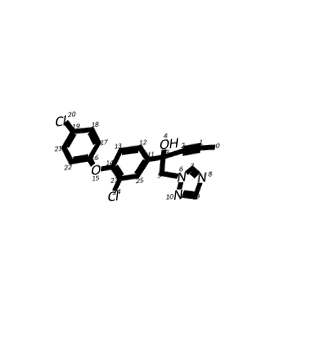 CC#CC(O)(Cn1cncn1)c1ccc(Oc2ccc(Cl)cc2)c(Cl)c1